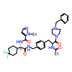 CCC(=O)NC(Cc1ccc(CNC(=O)[C@@H](NC(=O)c2ccnn2CC)C2CCC(F)(F)CC2)cc1)C(=O)N1CCN(Cc2ccccc2)CC1